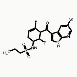 CCCS(=O)(=O)NC1CC=C(F)C(C(=O)c2c[nH]c3ncc(Br)cc23)C1F